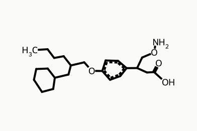 CCCCC(COc1ccc(C(CON)CC(=O)O)cc1)CC1CCCCC1